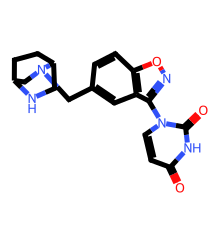 O=c1ccn(-c2noc3ccc(CN4CC5CCC4CN5)cc23)c(=O)[nH]1